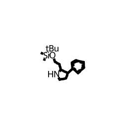 CC(C)(C)[Si](C)(C)OCCC1NCCC1c1ccccc1